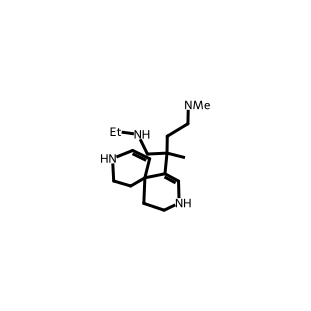 CCNCC(C)(CCNC)C1=CNCCC12C=CNCC2